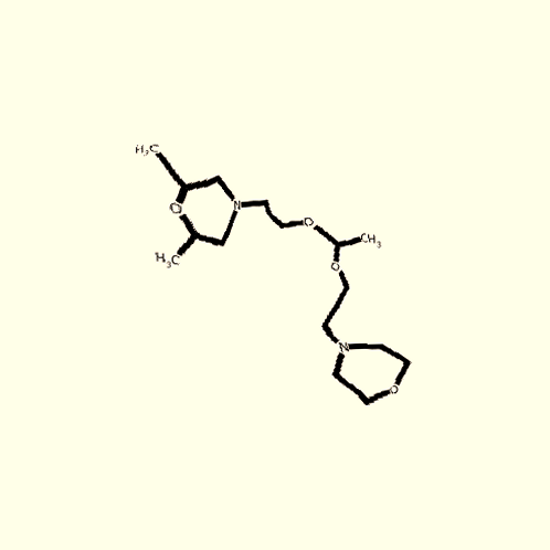 CC1CN(CCOC(C)OCCN2CCOCC2)CC(C)O1